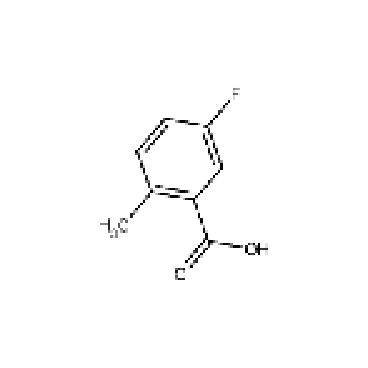 Cc1ccc(F)cc1C(=O)O